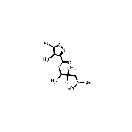 CCCN(CCC)CC(C)(C)C(C)NC(=O)c1noc(CC)c1C